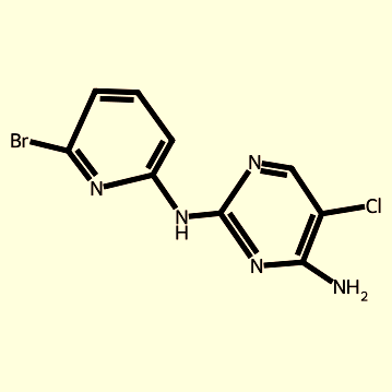 Nc1nc(Nc2cccc(Br)n2)ncc1Cl